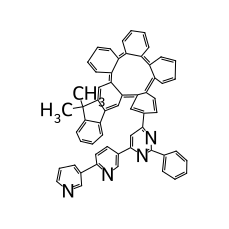 CC1(C)c2ccccc2-c2cc3c4cc(-c5cc(-c6ccc(-c7cccnc7)nc6)nc(-c6ccccc6)n5)ccc4c4ccccc4c4ccccc4c4ccccc4c3cc21